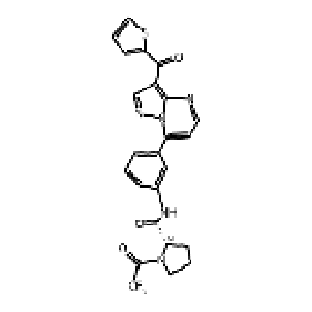 O=C(c1cccs1)c1cnn2c(-c3cccc(NC(=O)[C@@H]4CCCN4C(=O)C(F)(F)F)c3)ccnc12